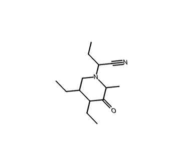 CCC1CN(C(C#N)CC)C(C)C(=O)C1CC